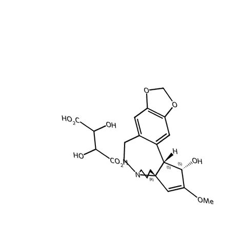 COC1=C[C@]23CCCN2CCc2cc4c(cc2[C@@H]3[C@@H]1O)OCO4.O=C(O)C(O)C(O)C(=O)O